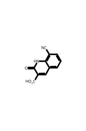 N#Cc1cccc2cc(C(=O)O)c(=O)[nH]c12